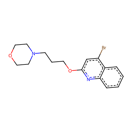 Brc1cc(OCCCN2CCOCC2)nc2ccccc12